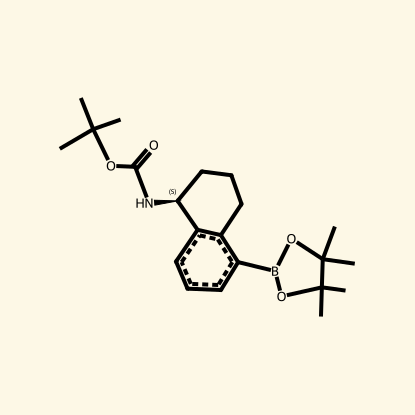 CC(C)(C)OC(=O)N[C@H]1CCCc2c(B3OC(C)(C)C(C)(C)O3)cccc21